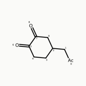 CC(=O)CC1CCC(=O)C(=O)C1